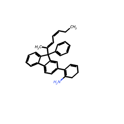 CC/C=C\C=C(/C)C1(c2ccccc2)c2ccccc2-c2ccc(C3=C(N)CCC=C3)cc21